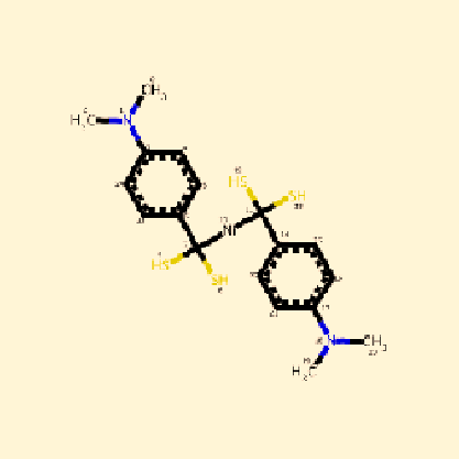 CN(C)c1ccc([C](S)(S)[Ni][C](S)(S)c2ccc(N(C)C)cc2)cc1